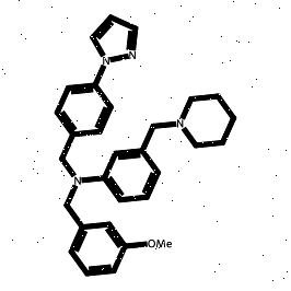 COc1cccc(CN(Cc2ccc(-n3cccn3)cc2)c2cccc(CN3CCCCC3)c2)c1